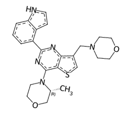 C[C@@H]1COCCN1c1nc(-c2cccc3[nH]ccc23)nc2c(CN3CCOCC3)csc12